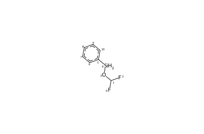 FC(F)O[SiH2]c1ccccc1